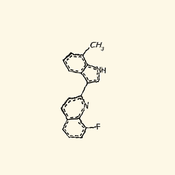 Cc1cccc2c(-c3ccc4cccc(F)c4n3)c[nH]c12